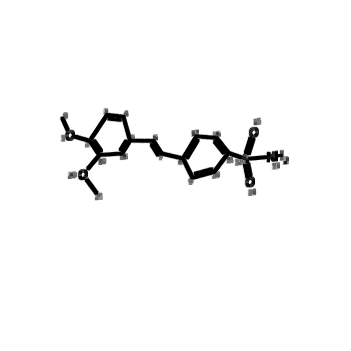 COc1ccc(C=Cc2ccc(S(N)(=O)=O)cc2)cc1OC